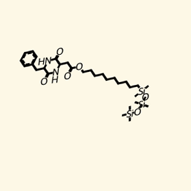 C[Si](C)(C)O[Si](C)(C)O[Si](C)(C)CCCCCCCCCCOC(=O)CC1NC(=O)C(Cc2ccccc2)NC1=O